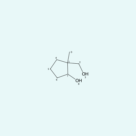 CC1(CO)CCCC1O